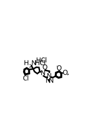 COc1ccc(-c2nnc3n2CC(=O)N(C2CCC(CN)(c4cccc(Cl)c4)CC2)C3)cc1OC.Cl.Cl